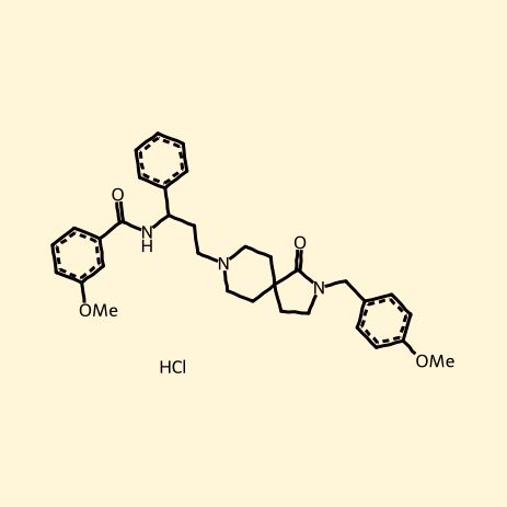 COc1ccc(CN2CCC3(CCN(CCC(NC(=O)c4cccc(OC)c4)c4ccccc4)CC3)C2=O)cc1.Cl